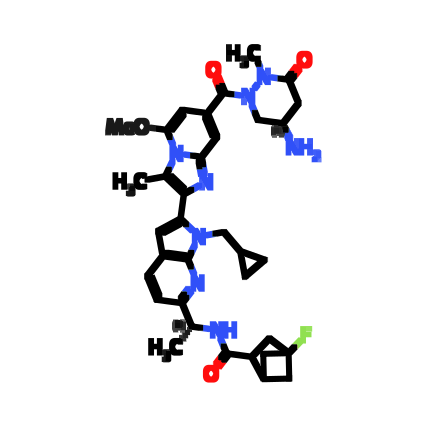 COc1cc(C(=O)N2C[C@H](N)CC(=O)N2C)cc2nc(-c3cc4ccc([C@@H](C)NC(=O)C5CC6(F)CC5C6)nc4n3CC3CC3)c(C)n12